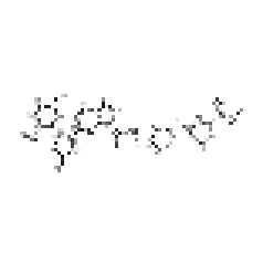 COC(=O)c1cccc(CN2CCC(CNC(=O)c3cnc4ccc(N5C[C@@H](F)C[C@@H]5c5cc(F)ccc5SC)nn34)C2)c1